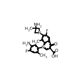 Cc1cc(F)c(N)cc1-n1cc(C(=O)O)c(=O)c2cc(F)c(N3CC(C)(N)C3)c(C)c21